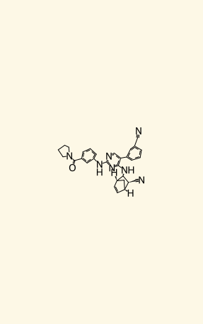 N#Cc1cccc(-c2cnc(Nc3cccc(C(=O)N4CCCC4)c3)nc2N[C@H]2[C@@H](C#N)[C@@H]3C=C[C@H]2C3)c1